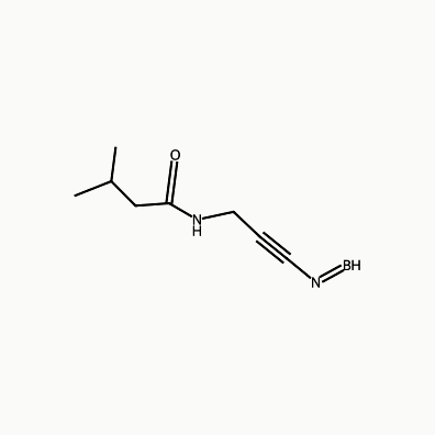 B=NC#CCNC(=O)CC(C)C